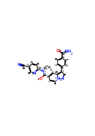 CN(C(=O)c1ccn2ncc(-c3ccc(C(N)=O)cc3)c2c1)c1ccc(C#N)cn1